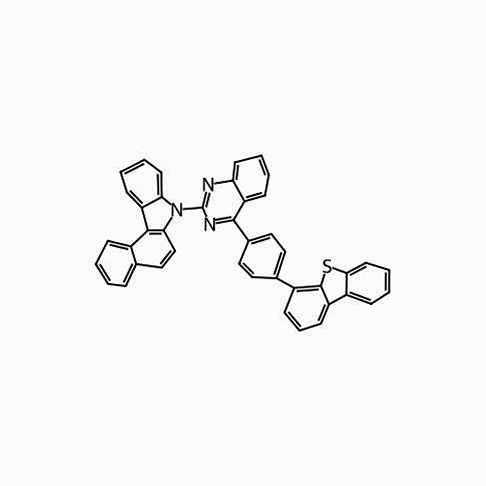 c1ccc2c(c1)ccc1c2c2ccccc2n1-c1nc(-c2ccc(-c3cccc4c3sc3ccccc34)cc2)c2ccccc2n1